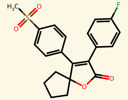 CS(=O)(=O)c1ccc(C2=C(c3ccc(F)cc3)C(=O)OC23CCCC3)cc1